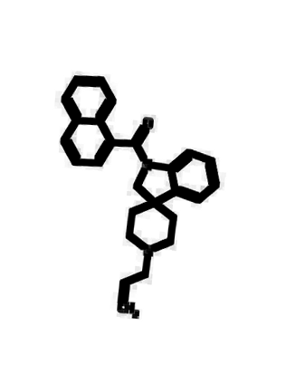 C=CCN1CCC2(CC1)CN(C(=O)c1cccc3ccccc13)c1ccccc12